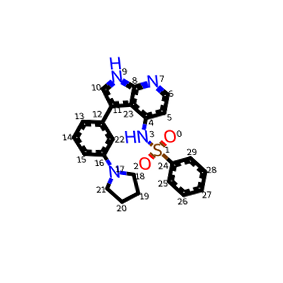 O=S(=O)(Nc1ccnc2[nH]cc(-c3cccc(N4CCCC4)c3)c12)c1ccccc1